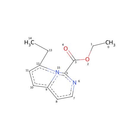 CCOC(=O)c1nccc2ccc(CC)n12